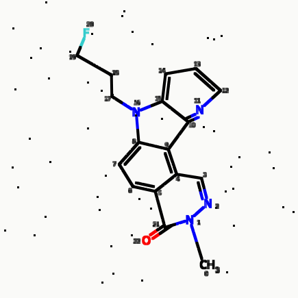 Cn1ncc2c(ccc3c2c2ncccc2n3CCCF)c1=O